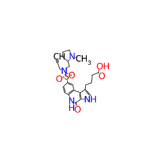 C#CCN(CC1CCCN1C)S(=O)(=O)c1ccc2[nH]c(=O)c3[nH]cc(CCCC(=O)O)c3c2c1